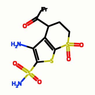 CC(C)C(=O)C1CCS(=O)(=O)c2sc(S(N)(=O)=O)c(N)c21